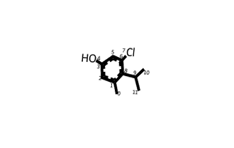 Cc1cc(O)cc(Cl)c1C(C)C